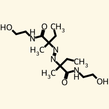 CCC(C)(N=NC(C)(CC)C(=O)NCCO)C(=O)NCCO